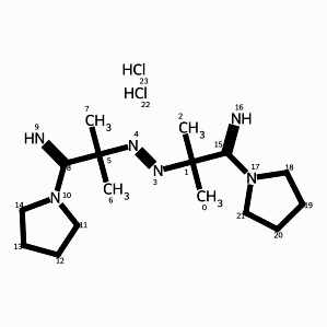 CC(C)(N=NC(C)(C)C(=N)N1CCCC1)C(=N)N1CCCC1.Cl.Cl